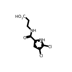 O=C(O)CCNC(=O)c1cc(Cl)c(Cl)[nH]1